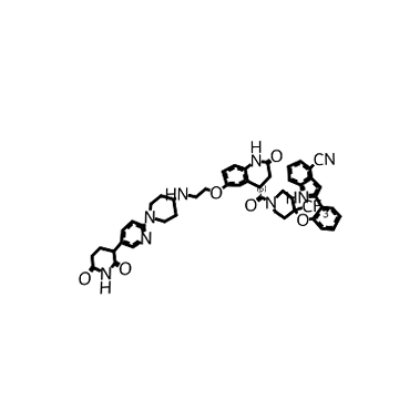 N#Cc1cccc2[nH]c(-c3ccccc3OC3(C(F)(F)F)CCN(C(=O)[C@H]4CC(=O)Nc5ccc(OCCNC6CCN(c7ccc(C8CCC(=O)NC8=O)cn7)CC6)cc54)CC3)cc12